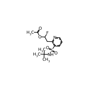 CC(=O)OC(F)Cc1ncccc1S(=O)(=O)NC(C)(C)C